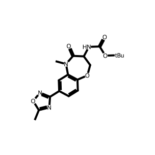 Cc1nc(-c2ccc3c(c2)N(C)C(=O)C(NC(=O)OC(C)(C)C)CO3)no1